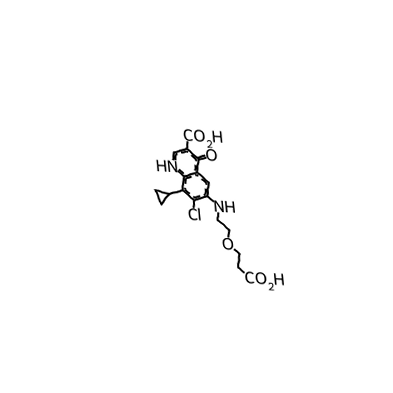 O=C(O)CCOCCNc1cc2c(=O)c(C(=O)O)c[nH]c2c(C2CC2)c1Cl